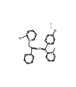 C[n+]1ccccc1C(=O)c1ccc(Br)cc1.O=C(C[n+]1ccccc1Br)c1ccccc1.[I-].[I-]